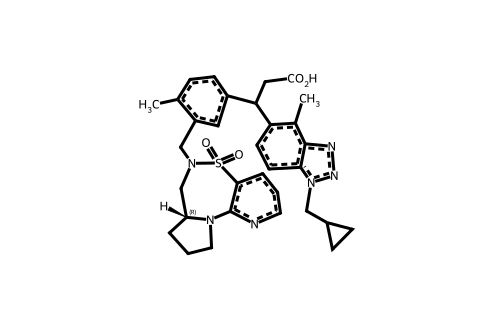 Cc1ccc(C(CC(=O)O)c2ccc3c(nnn3CC3CC3)c2C)cc1CN1C[C@H]2CCCN2c2ncccc2S1(=O)=O